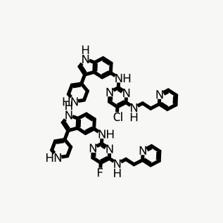 Clc1cnc(Nc2ccc3[nH]cc(C4=CCNCC4)c3c2)nc1NCCc1ccccn1.Fc1cnc(Nc2ccc3[nH]cc(C4=CCNCC4)c3c2)nc1NCCc1ccccn1